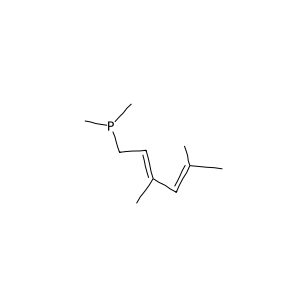 CC(C)=CC(C)=CCP(C)C